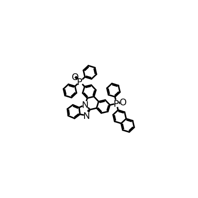 O=P(c1ccccc1)(c1ccc2ccccc2c1)c1ccc2c(c1)c1ccc(P(=O)(c3ccccc3)c3ccccc3)cc1n1c3ccccc3nc21